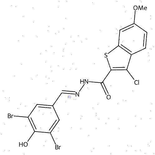 COc1ccc2c(Cl)c(C(=O)N/N=C/c3cc(Br)c(O)c(Br)c3)sc2c1